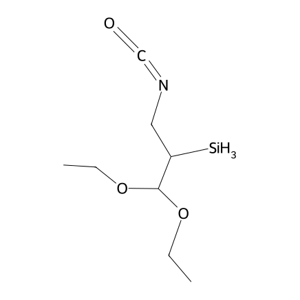 CCOC(OCC)C([SiH3])CN=C=O